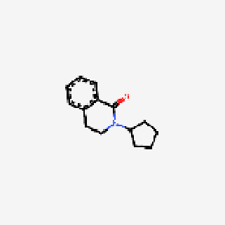 O=C1c2ccccc2CCN1C1CCCC1